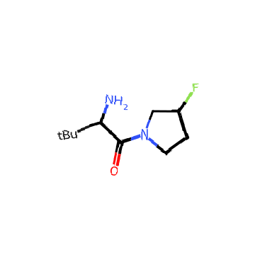 CC(C)(C)C(N)C(=O)N1CCC(F)C1